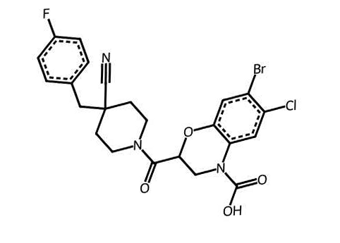 N#CC1(Cc2ccc(F)cc2)CCN(C(=O)C2CN(C(=O)O)c3cc(Cl)c(Br)cc3O2)CC1